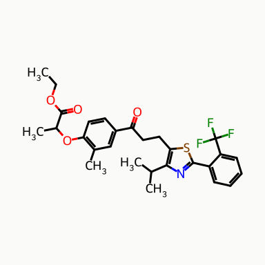 CCOC(=O)C(C)Oc1ccc(C(=O)CCc2sc(-c3ccccc3C(F)(F)F)nc2C(C)C)cc1C